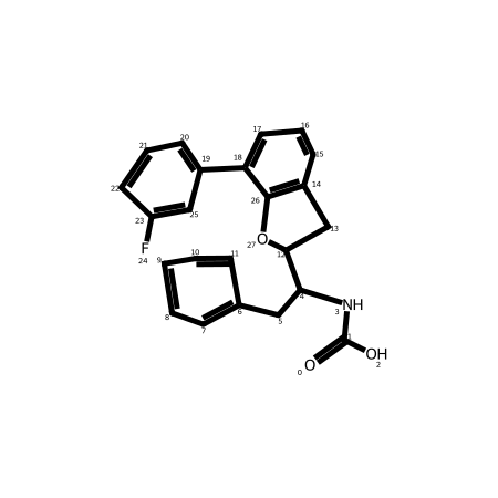 O=C(O)NC(Cc1ccccc1)C1Cc2cccc(-c3cccc(F)c3)c2O1